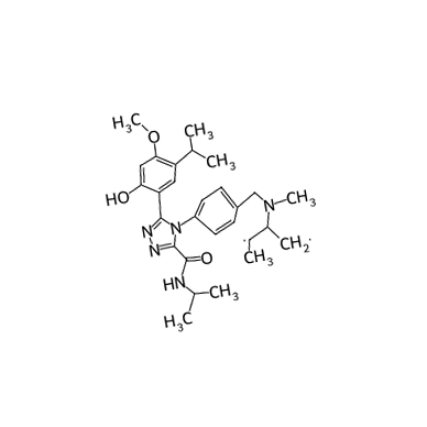 [CH2]C([CH]C)N(C)Cc1ccc(-n2c(C(=O)NC(C)C)nnc2-c2cc(C(C)C)c(OC)cc2O)cc1